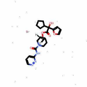 O=C(O[C@H]1C[N+]2(C(=O)Nc3cccnn3)CCC1CC2)C(O)(c1ccco1)C1CCCC1.[Br-]